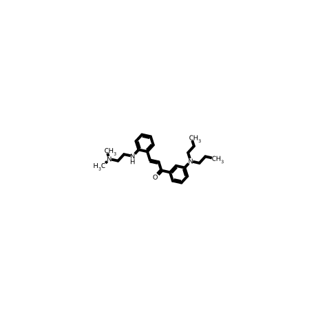 CCCN(CCC)c1cccc(C(=O)C=Cc2ccccc2NCCN(C)C)c1